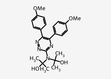 COc1ccc(-c2nnc(N(C(C)(C)O)C(C)(C)O)nc2-c2ccc(OC)cc2)cc1